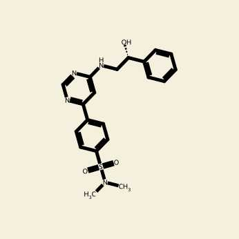 CN(C)S(=O)(=O)c1ccc(-c2cc(NC[C@H](O)c3ccccc3)ncn2)cc1